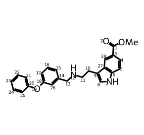 COC(=O)c1ccc2[nH]cc(CCNCc3cccc(Oc4ccccc4)c3)c2c1